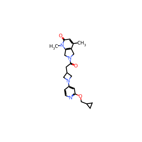 Cc1cc(=O)n(C)c2c1CN(C(=O)CC1CN(c3ccnc(OCC4CC4)c3)C1)C2